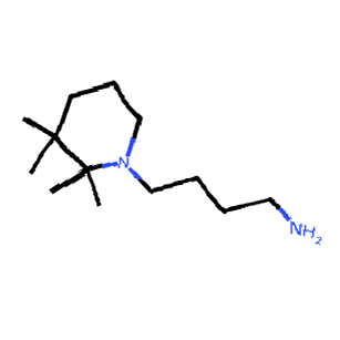 CC1(C)CCCN(CCCCN)C1(C)C